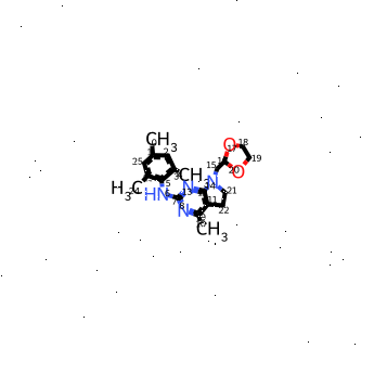 Cc1cc(C)c(Nc2nc(C)c3c(n2)N(CC2OCCO2)CC3)c(C)c1